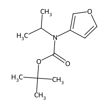 CC(C)N(C(=O)OC(C)(C)C)c1ccoc1